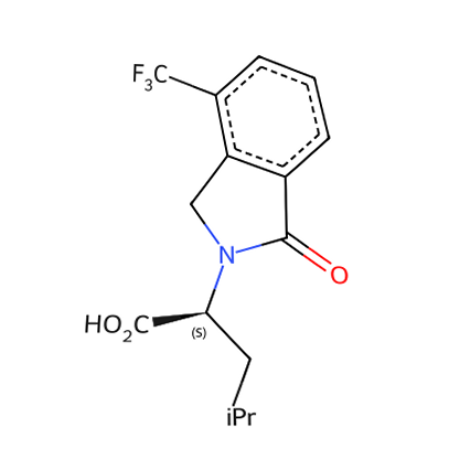 CC(C)C[C@@H](C(=O)O)N1Cc2c(cccc2C(F)(F)F)C1=O